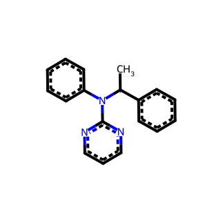 C[C](c1ccccc1)N(c1ccccc1)c1ncccn1